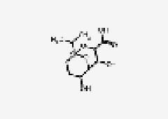 CC(C)[Si]12CCC(O)C(O1)C(O)C(C(=O)O)O2